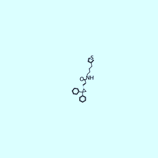 O=C(/C=C/[C@@H]1CC1(c1ccccc1)c1ccccc1)NCCCCc1ccsc1